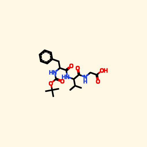 CC(C)C(NC(=O)C(Cc1ccccc1)NC(=O)OC(C)(C)C)C(=O)NCC(=O)O